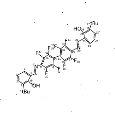 CC(C)(C)c1cccc(/C=N/c2c(F)c(F)c(-c3c(F)c(F)c(/N=C/c4cccc(C(C)(C)C)c4O)c(F)c3F)c(F)c2F)c1O